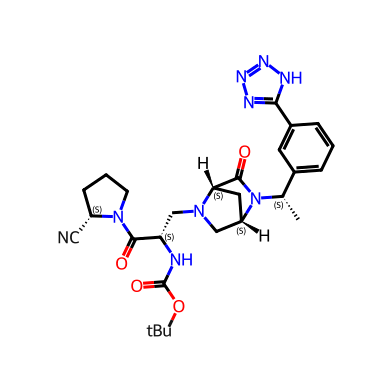 C[C@@H](c1cccc(-c2nnn[nH]2)c1)N1C(=O)[C@@H]2C[C@H]1CN2C[C@H](NC(=O)OC(C)(C)C)C(=O)N1CCC[C@H]1C#N